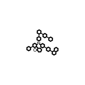 c1ccc(-c2ccc(-c3ccccc3-c3ccc(N(c4ccc(-c5ccc(-c6cccc7ccccc67)cc5)cc4)c4ccc(-c5ccccc5)c5oc6ccccc6c45)cc3)cc2)cc1